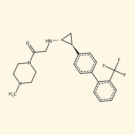 CN1CCN(C(=O)CN[C@@H]2C[C@H]2c2ccc(-c3ccccc3C(F)(F)F)cc2)CC1